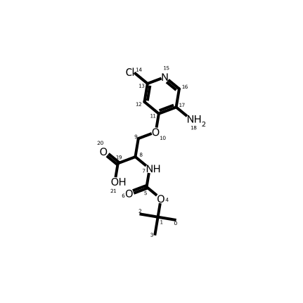 CC(C)(C)OC(=O)NC(COc1cc(Cl)ncc1N)C(=O)O